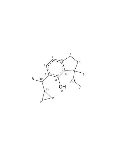 COC1(C)CCc2ccc(C(C)C3CC3)c(O)c21